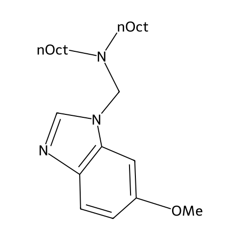 CCCCCCCCN(CCCCCCCC)Cn1cnc2ccc(OC)cc21